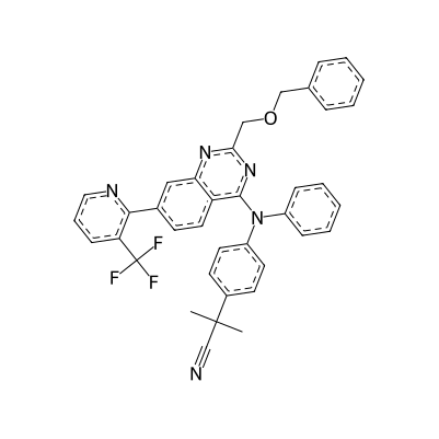 CC(C)(C#N)c1ccc(N(c2ccccc2)c2nc(COCc3ccccc3)nc3cc(-c4ncccc4C(F)(F)F)ccc23)cc1